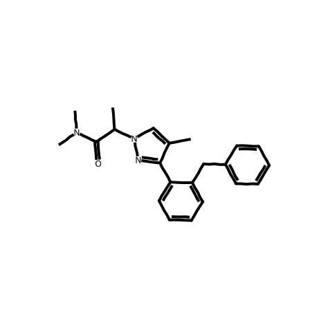 Cc1cn(C(C)C(=O)N(C)C)nc1-c1ccccc1Cc1ccccc1